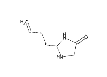 C=CCSC1NCC(=O)N1